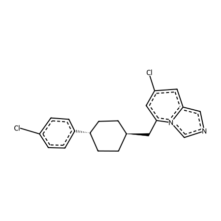 Clc1ccc([C@H]2CC[C@H](Cc3cc(Cl)cc4cncn34)CC2)cc1